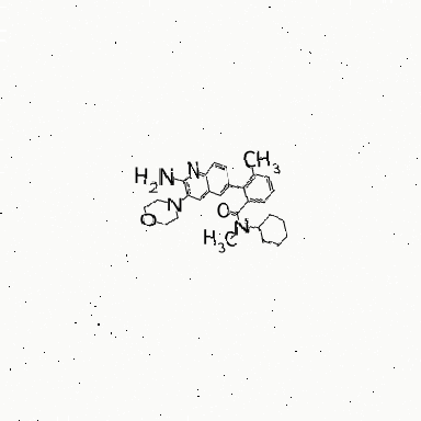 Cc1cccc(C(=O)N(C)C2CCCCC2)c1-c1ccc2nc(N)c(N3CCOCC3)cc2c1